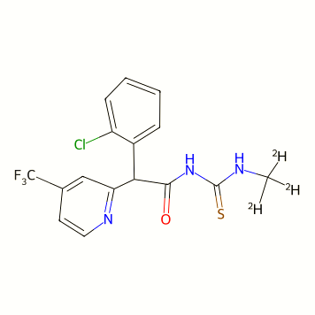 [2H]C([2H])([2H])NC(=S)NC(=O)C(c1cc(C(F)(F)F)ccn1)c1ccccc1Cl